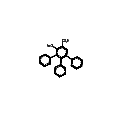 CC(=O)Oc1c(C(=O)O)cc(-c2ccccc2)c(-c2ccccc2)c1-c1ccccc1